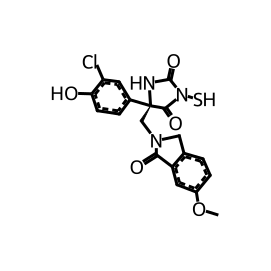 COc1ccc2c(c1)C(=O)N(C[C@@]1(c3ccc(O)c(Cl)c3)NC(=O)N(S)C1=O)C2